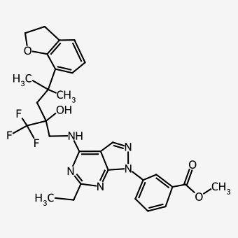 CCc1nc(NCC(O)(CC(C)(C)c2cccc3c2OCC3)C(F)(F)F)c2cnn(-c3cccc(C(=O)OC)c3)c2n1